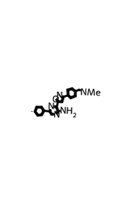 CNCc1ccc(-c2cc(-c3nc(-c4cc[c]cc4)cnc3N)on2)cc1